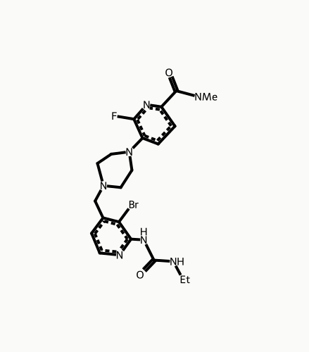 CCNC(=O)Nc1nccc(CN2CCN(c3ccc(C(=O)NC)nc3F)CC2)c1Br